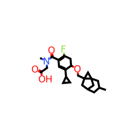 CC1CC2CC3(COC4CC(F)=C(C(=O)N(C)CC(=O)O)C=C4C4CC4)CC3(C1)C2